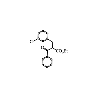 CCOC(=O)C(Cc1cccc(Cl)c1)C(=O)c1ccccc1